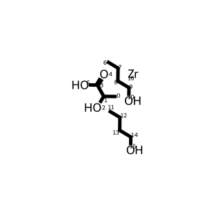 CC(O)C(=O)O.CCCCO.CCCCO.[Zr]